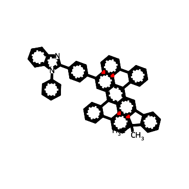 CC1(C)c2ccccc2-c2cc3c(-c4ccccc4-c4ccccc4)c4ccc(-c5ccc(-c6nc7ccccc7n6-c6ccccc6)cc5)cc4c(-c4ccccc4-c4ccccc4)c3cc21